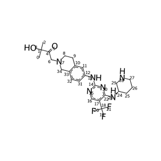 CC(C)(O)C(=O)CN1CCc2cc(Nc3ncc(C(F)(F)F)c(N[C@@H]4CCCNC4)n3)ccc2C1